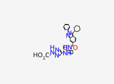 O=C(O)CNc1ncc(NC(=O)C2(NC(=O)c3ccc4c(C5CCCCC5)n(-c5ccccc5)nc4c3)CCC2)cn1